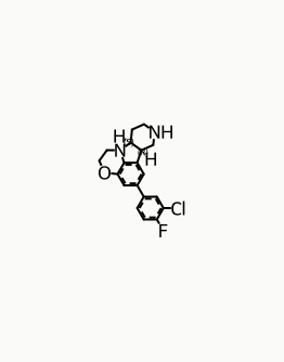 Fc1ccc(-c2cc3c4c(c2)[C@@H]2CNCC[C@@H]2N4CCO3)cc1Cl